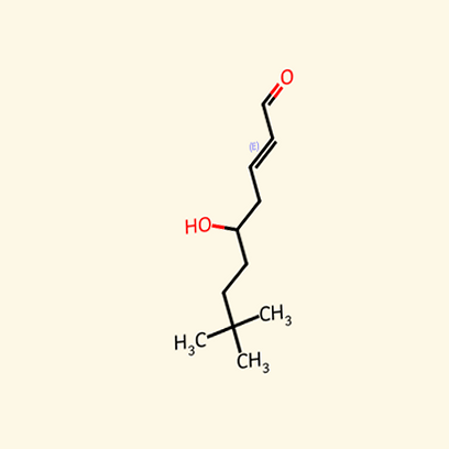 CC(C)(C)CCC(O)C/C=C/C=O